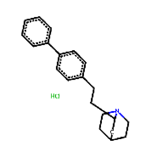 Cl.c1ccc(-c2ccc(CCC3CC4CCN3CC4)cc2)cc1